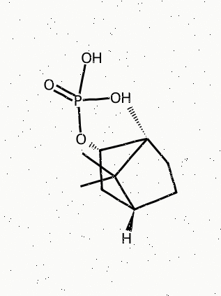 CC1(C)[C@@H]2CC[C@]1(C)[C@@H](OP(=O)(O)O)C2